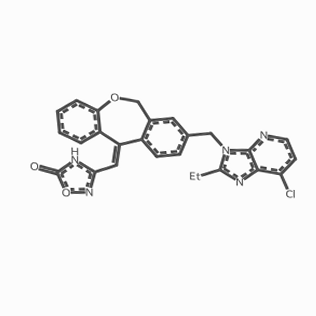 CCc1nc2c(Cl)ccnc2n1Cc1ccc2c(c1)COc1ccccc1C2=Cc1noc(=O)[nH]1